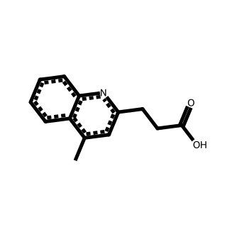 Cc1cc(CCC(=O)O)nc2ccccc12